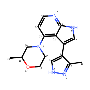 Cc1n[nH]cc1-c1c[nH]c2nccc(N3CCO[C@@H](C)C3)c12